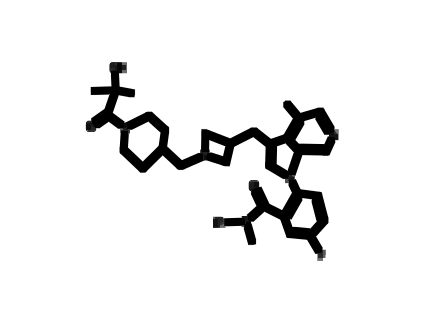 Cc1cncc2c1c(CC1CN(CC3CCN(C(=O)C(C)(C)O)CC3)C1)cn2-c1ccc(F)cc1C(=O)N(C)C(C)C